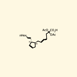 CCCCCCC=C[C@H]1C=CC[C@@H]1CC=C=CCC(OC(C)=O)(OC(C)=O)C(=O)O